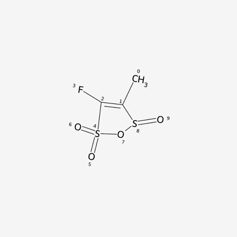 CC1=C(F)S(=O)(=O)OS1=O